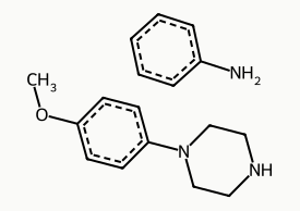 COc1ccc(N2CCNCC2)cc1.Nc1ccccc1